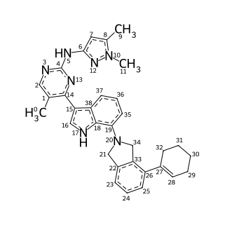 Cc1cnc(Nc2cc(C)n(C)n2)nc1-c1c[nH]c2c(N3Cc4cccc(C5=CCCCC5)c4C3)cccc12